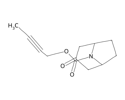 CC#CCOC(=O)N1C2CCC1CC(=O)C2